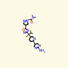 CC(C)[C@](C)(c1ccc(-c2cnc(N)nc2)nc1)c1noc(-c2cnn(CC(=O)N(C)C)c2)n1